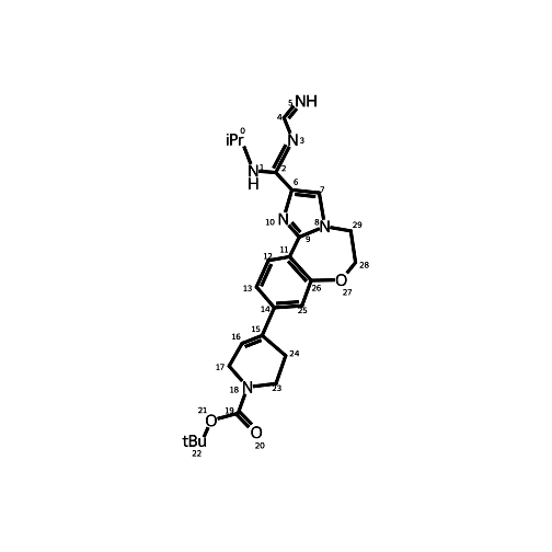 CC(C)N/C(=N\C=N)c1cn2c(n1)-c1ccc(C3=CCN(C(=O)OC(C)(C)C)CC3)cc1OCC2